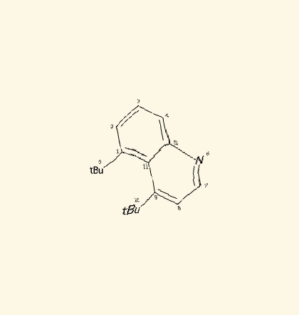 CC(C)(C)c1cccc2nccc(C(C)(C)C)c12